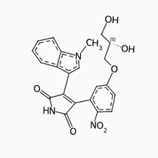 Cn1cc(C2=C(c3cc(OC[C@@H](O)CO)ccc3[N+](=O)[O-])C(=O)NC2=O)c2ccccc21